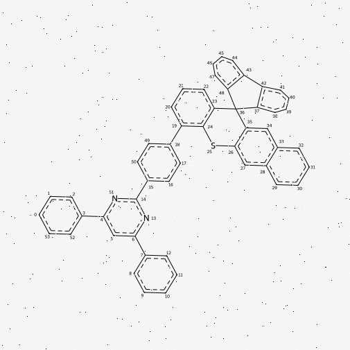 c1ccc(-c2cc(-c3ccccc3)nc(-c3ccc(-c4cccc5c4Sc4cc6ccccc6cc4C54c5ccccc5-c5ccccc54)cc3)n2)cc1